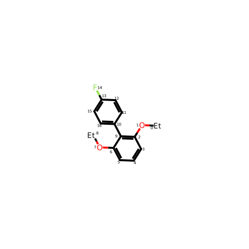 CCOc1cccc(OCC)c1-c1ccc(F)cc1